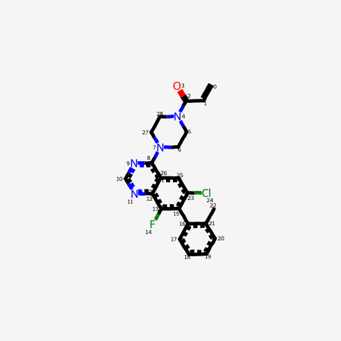 C=CC(=O)N1CCN(c2ncnc3c(F)c(-c4ccccc4C)c(Cl)cc23)CC1